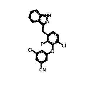 N#Cc1cc(Cl)cc(Oc2c(Cl)ccc(Cc3n[nH]c4ccccc34)c2F)c1